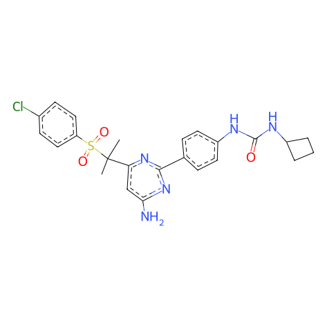 CC(C)(c1cc(N)nc(-c2ccc(NC(=O)NC3CCC3)cc2)n1)S(=O)(=O)c1ccc(Cl)cc1